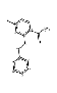 Cc1ccc(C(N)=O)c(CCc2ccccc2)c1